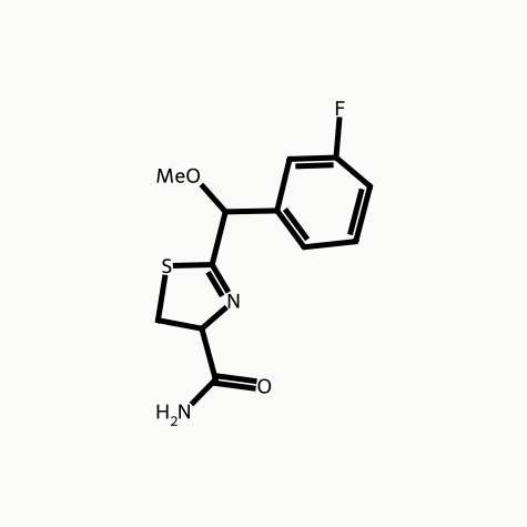 COC(C1=NC(C(N)=O)CS1)c1cccc(F)c1